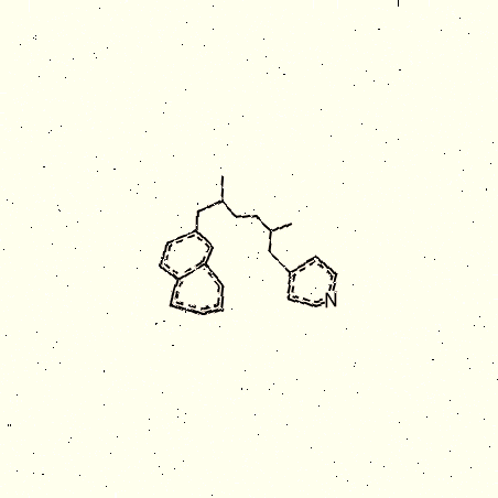 CC(CCC(C)Cc1ccc2ccccc2c1)Cc1ccncc1